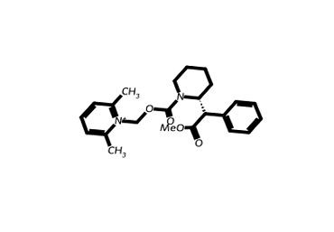 COC(=O)C(c1ccccc1)[C@H]1CCCCN1C(=O)OC[n+]1c(C)cccc1C